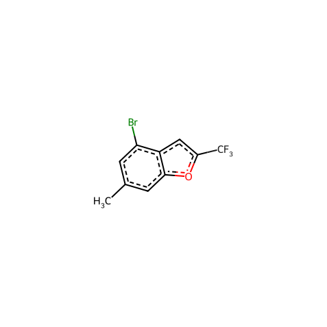 Cc1cc(Br)c2cc(C(F)(F)F)oc2c1